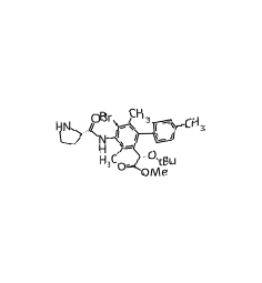 COC(=O)[C@@H](OC(C)(C)C)c1c(C)c(NC(=O)[C@@H]2CCCN2)c(Br)c(C)c1-c1ccc(C)cc1